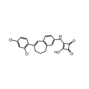 O=c1c(O)c(Nc2ccc3c(c2)CCCC(c2ccc(Cl)cc2Cl)=C3)c1=O